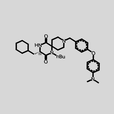 CCCCN1C(=O)[C@H](CC2CCCCC2)NC(=O)C12CCN(Cc1ccc(Oc3ccc(N(C)C)cc3)cc1)CC2